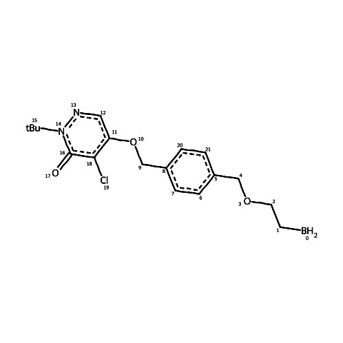 BCCOCc1ccc(COc2cnn(C(C)(C)C)c(=O)c2Cl)cc1